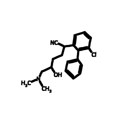 CN(C)CC(O)CCC(C#N)c1cccc(Cl)c1-c1ccccc1